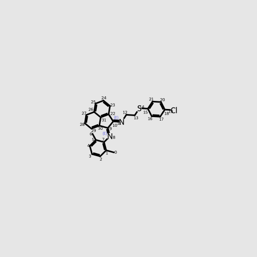 Cc1cccc(C)c1/N=C1/C(=N/CCSc2ccc(Cl)cc2)c2cccc3cccc1c23